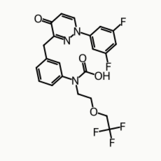 O=C(O)N(CCOCC(F)(F)F)c1cccc(Cc2nn(-c3cc(F)cc(F)c3)ccc2=O)c1